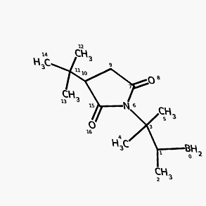 BC(C)C(C)(C)N1C(=O)CC(C(C)(C)C)C1=O